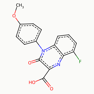 COc1ccc(-n2c(=O)c(C(=O)O)nc3c(F)cccc32)cc1